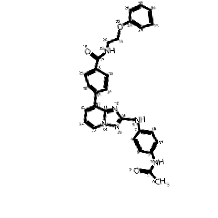 CC(=O)Nc1ccc(Nc2nc3c(-c4ccc(C(=O)NCCOc5ccccc5)cc4)cccn3n2)cc1